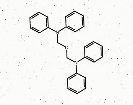 c1ccc(N(COCN(c2ccccc2)c2ccccc2)c2ccccc2)cc1